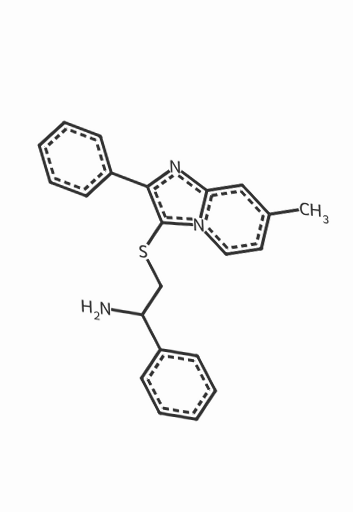 Cc1ccn2c(SCC(N)c3ccccc3)c(-c3ccccc3)nc2c1